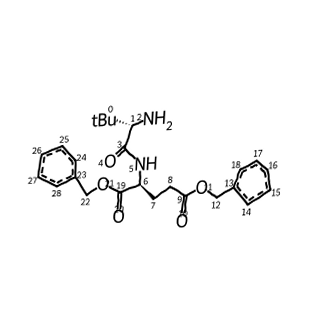 CC(C)(C)[C@H](N)C(=O)N[C@@H](CCC(=O)OCc1ccccc1)C(=O)OCc1ccccc1